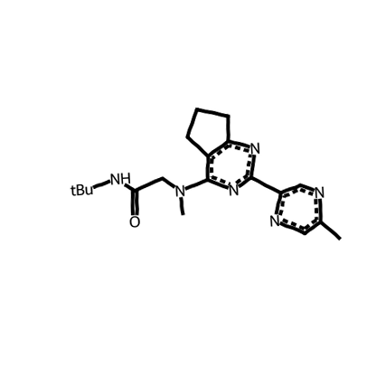 Cc1cnc(-c2nc3c(c(N(C)CC(=O)NC(C)(C)C)n2)CCC3)cn1